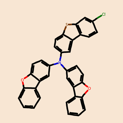 Clc1ccc2c(c1)sc1ccc(N(c3ccc4oc5ccccc5c4c3)c3ccc4oc5ccccc5c4c3)cc12